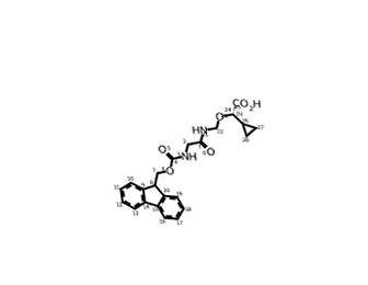 O=C(CNC(=O)OCC1c2ccccc2-c2ccccc21)NCO[C@H](C(=O)O)C1CC1